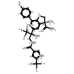 C[C@]1(C(N)=O)COc2c1cc(C(O)(CNC(=O)c1c[nH]c(C(F)(F)F)c1)C(F)(F)F)nc2-c1ccc(F)cc1